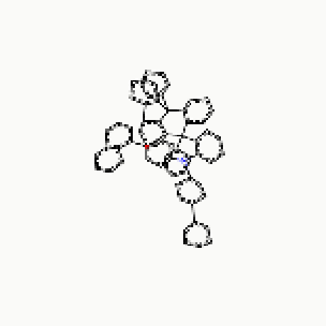 c1ccc(-c2ccc(N(c3ccc(-c4cccc5ccccc45)cc3)c3ccccc3C3(c4ccccc4)c4ccccc4C4(c5ccccc5)c5ccccc5-c5cccc3c54)cc2)cc1